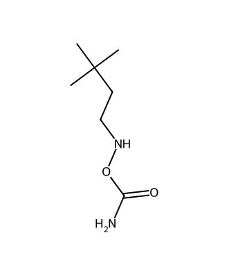 CC(C)(C)CCNOC(N)=O